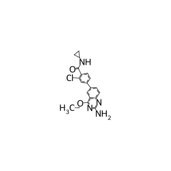 CCOc1nc(N)nc2ccc(-c3ccc(C(=O)NC4CC4)c(Cl)c3)cc12